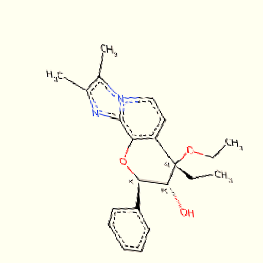 CCO[C@@]1(CC)c2ccn3c(C)c(C)nc3c2O[C@H](c2ccccc2)[C@H]1O